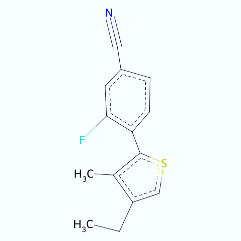 CCc1csc(-c2ccc(C#N)cc2F)c1C